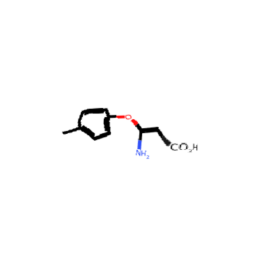 Cc1ccc(OC(N)CC(=O)O)cc1